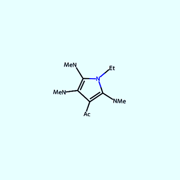 CCn1c(NC)c(NC)c(C(C)=O)c1NC